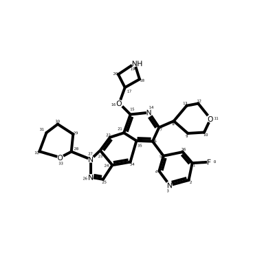 Fc1cncc(-c2c(C3CCOCC3)nc(OC3CNC3)c3cc4c(cnn4C4CCCCO4)cc23)c1